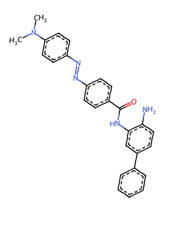 CN(C)c1ccc(/N=N/c2ccc(C(=O)Nc3cc(-c4ccccc4)ccc3N)cc2)cc1